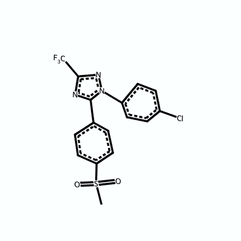 CS(=O)(=O)c1ccc(-c2nc(C(F)(F)F)nn2-c2ccc(Cl)cc2)cc1